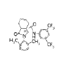 Cc1cccc(C)c1N1C[C@]2(C(=O)Nc3cc(C(F)(F)F)cc(C(F)(F)F)c3)CC=CCC2C1=O